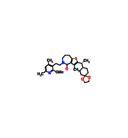 COc1nc(C)cc(C)c1CCN1CCCc2sc([C@H](C)C3CCC4(CC3)OCCO4)c(C)c2C1=O